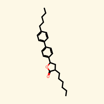 CCCCCCC1CC(c2ccc(-c3ccc(CCCCC)cc3)cc2)OC1=O